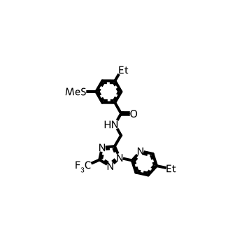 CCc1ccc(-n2nc(C(F)(F)F)nc2CNC(=O)c2cc(CC)cc(SC)c2)nc1